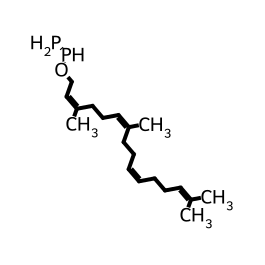 CC(C)=CCC/C=C\CC/C(C)=C\CC/C(C)=C\COPP